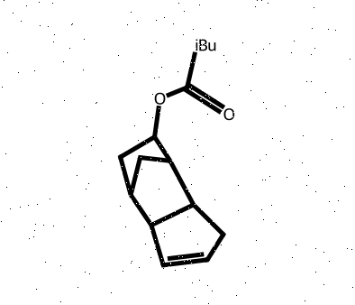 CCC(C)C(=O)OC1CC2CC1C1CC=CC21